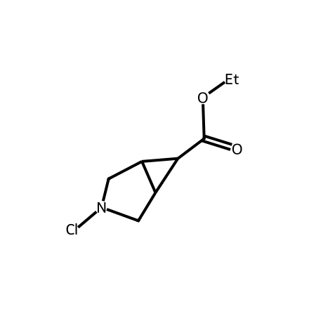 CCOC(=O)C1C2CN(Cl)CC21